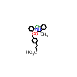 CC(C(=O)Nc1ccccc1OCc1ccc(CCCC(=O)O)cc1)c1ccccc1Cl